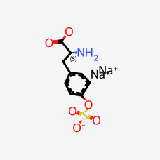 N[C@@H](Cc1ccc(OS(=O)(=O)[O-])cc1)C(=O)[O-].[Na+].[Na+]